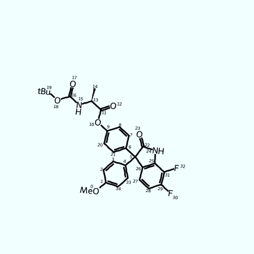 COc1ccc(C2(c3ccc(OC(=O)[C@H](C)NC(=O)OC(C)(C)C)cc3)C(=O)Nc3c2ccc(F)c3F)cc1